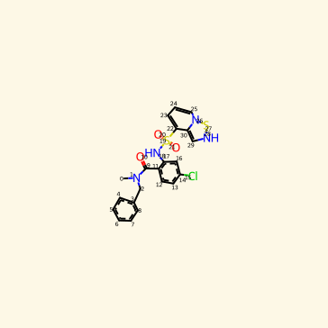 CN(Cc1ccccc1)C(=O)c1ccc(Cl)cc1NS(=O)(=O)C1=CC=CN2SNC=C12